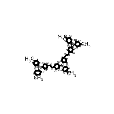 Cc1ccc(N(c2ccc(C)cc2)c2ccc(C=Cc3ccc(N(c4ccc(C)cc4)c4ccc(C=Cc5ccc(N(c6ccc(C)cc6)c6ccc(C)cc6)cc5)cc4)cc3)cc2)cc1